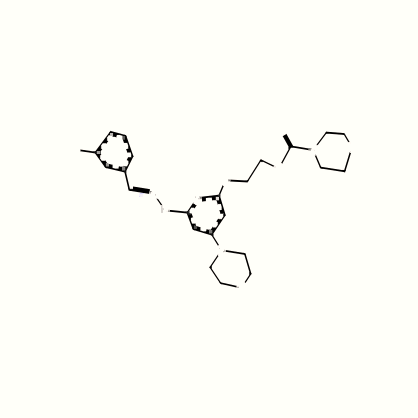 Cc1cccc(/C=N/Nc2cc(N3CCOCC3)cc(OCCOC(=O)N3CCOCC3)n2)c1